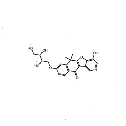 CC1(C)c2cc(OC[C@@H](O)[C@H](O)CO)ccc2C(=O)c2c1oc1c(O)cncc21